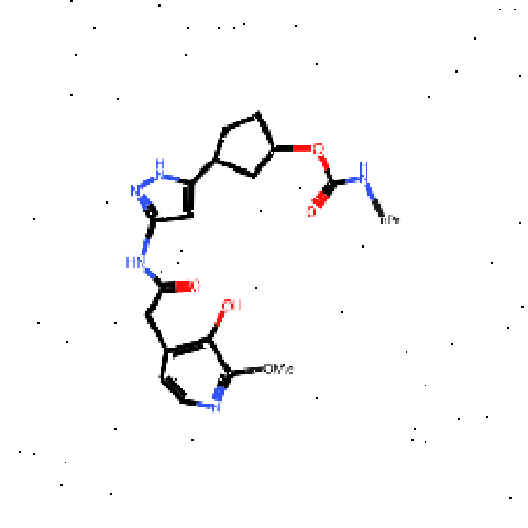 CCCNC(=O)OC1CCC(c2cc(NC(=O)Cc3ccnc(OC)c3O)n[nH]2)C1